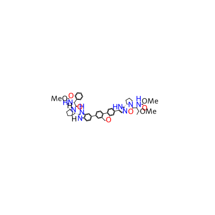 COC(=O)N[C@H](C(=O)N1CCC[C@H]1c1ncc(-c2ccc3c(c2)OCc2cc(-c4ccc5nc([C@@H]6[C@H]7CC[C@H](C7)N6C(=O)[C@H](NC(=O)OC)c6ccccc6)[nH]c5c4)ccc2-3)[nH]1)[C@@H](C)OC